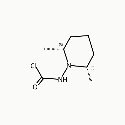 C[C@@H]1CCC[C@H](C)N1NC(=O)Cl